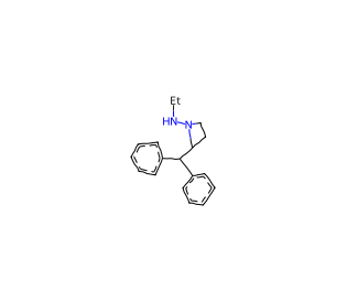 CCNN1CCC1C(c1ccccc1)c1ccccc1